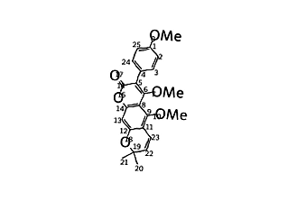 COc1ccc(-c2c(OC)c3c(OC)c4c(cc3oc2=O)OC(C)(C)C=C4)cc1